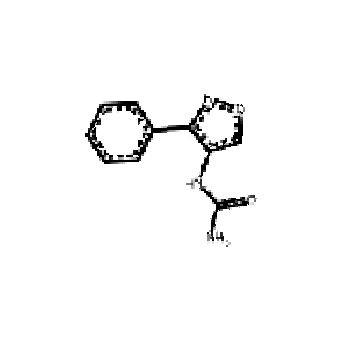 NC(=O)Nc1conc1-c1ccccc1